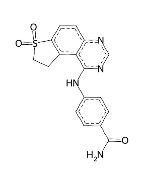 NC(=O)c1ccc(Nc2ncnc3ccc4c(c23)CCS4(=O)=O)cc1